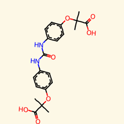 CC(C)(Oc1ccc(NC(=O)Nc2ccc(OC(C)(C)C(=O)O)cc2)cc1)C(=O)O